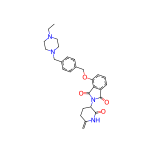 C=C1CCC(N2C(=O)c3cccc(OCc4ccc(CN5CCN(CC)CC5)cc4)c3C2=O)C(=O)N1